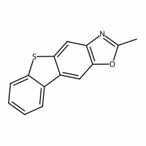 Cc1nc2cc3sc4ccccc4c3cc2o1